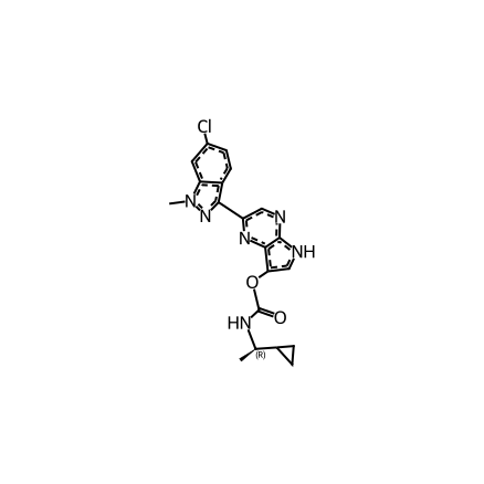 C[C@@H](NC(=O)Oc1c[nH]c2ncc(-c3nn(C)c4cc(Cl)ccc34)nc12)C1CC1